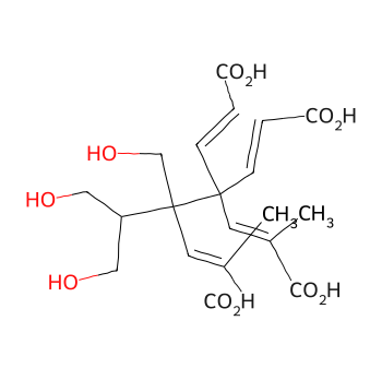 CC(=CC(C=CC(=O)O)(C=CC(=O)O)C(C=C(C)C(=O)O)(CO)C(CO)CO)C(=O)O